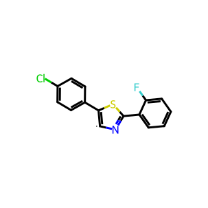 Fc1ccccc1-c1n[c]c(-c2ccc(Cl)cc2)s1